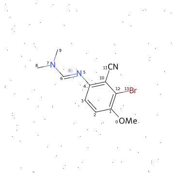 COc1ccc(/N=C/N(C)C)c(C#N)c1Br